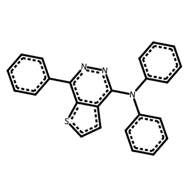 c1ccc(-c2nnc(N(c3ccccc3)c3ccccc3)c3ccsc23)cc1